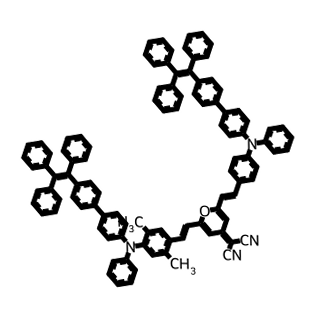 Cc1cc(N(c2ccccc2)c2ccc(-c3ccc(C(=C(c4ccccc4)c4ccccc4)c4ccccc4)cc3)cc2)c(C)cc1/C=C/C1=CC(=C(C#N)C#N)C=C(/C=C/c2ccc(N(c3ccccc3)c3ccc(-c4ccc(C(=C(c5ccccc5)c5ccccc5)c5ccccc5)cc4)cc3)cc2)O1